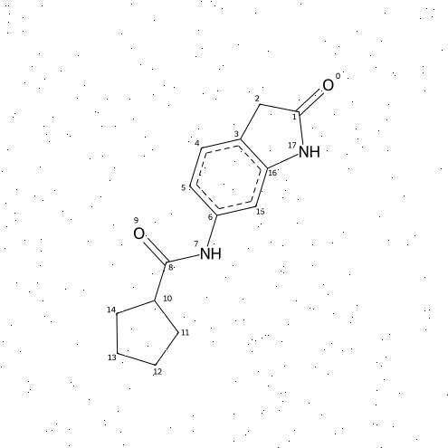 O=C1Cc2ccc(NC(=O)C3CCCC3)cc2N1